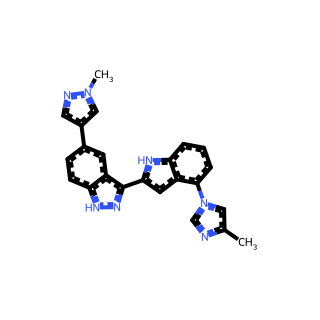 Cc1cn(-c2cccc3[nH]c(-c4n[nH]c5ccc(-c6cnn(C)c6)cc45)cc23)cn1